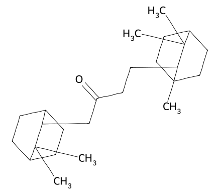 CC12CCC(CC1)C(C)(C)C2CCC(=O)CC1C2CCC(CC2)C1(C)C